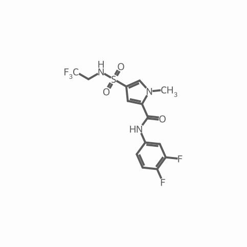 Cn1cc(S(=O)(=O)NCC(F)(F)F)cc1C(=O)Nc1ccc(F)c(F)c1